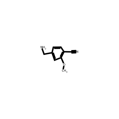 COc1cc(CN)ccc1C#N